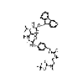 CC(C)[C@H](NC(=O)OCC1c2ccccc2-c2ccccc21)C(=O)N[C@@H](C)C(=O)Nc1ccc(COC(=O)N(C)CCN(C)C(=O)OC(C)(C)C)cc1